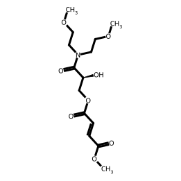 COCCN(CCOC)C(=O)[C@@H](O)COC(=O)/C=C/C(=O)OC